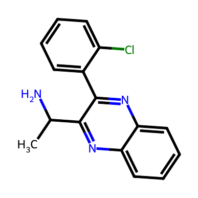 CC(N)c1nc2ccccc2nc1-c1ccccc1Cl